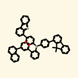 CC1(C)c2ccccc2-c2cccc(-c3ccc(N(c4ccc(-c5cccc6c5sc5ccccc56)cc4)c4ccccc4-c4cccc(-c5cccc6ccccc56)c4)cc3)c21